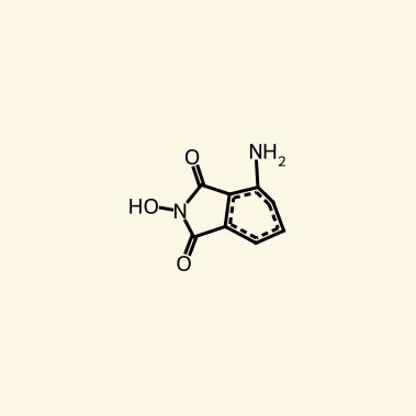 Nc1cccc2c1C(=O)N(O)C2=O